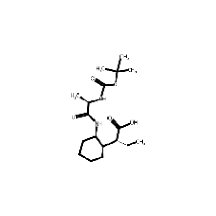 CC[C@@H](C(=O)O)[C@H]1CCCC[C@H]1NC(=O)[C@@H](C)NC(=O)OC(C)(C)C